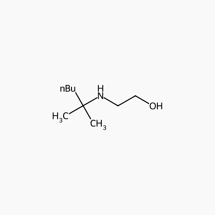 CCCCC(C)(C)NCCO